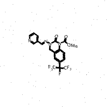 COC(=O)N1C(=O)N(/N=C/c2cccnc2)Cc2cc(C(F)(C(F)(F)F)C(F)(F)F)ccc21